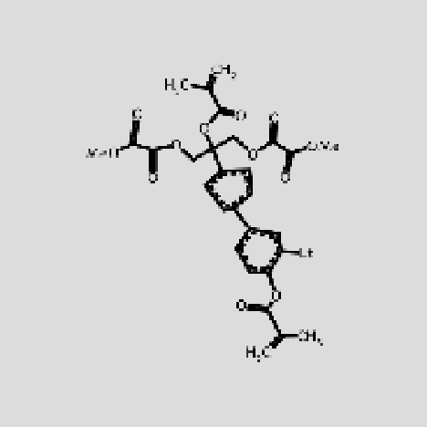 C=C(C)C(=O)Oc1ccc(-c2ccc(C(COC(=O)C(=O)OC)(COC(=O)C(=O)OC)OC(=O)C(=C)C)cc2)cc1CC